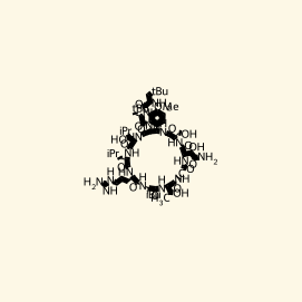 CC[C@H](C)[C@@H]1NC(=O)[C@@H](CCCNC(=N)N)NC(=O)[C@H](CC(C)C)NC(=O)[C@H]([C@H](O)C(C)C)NC(=O)[C@@H](NC(=O)[C@H](CC(C)(C)C)NC(=O)[C@H](N)CC(C)(C)C)[C@@H](c2ccc(OC)cc2)NC(=O)[C@H](CO)NC(=O)[C@H]([C@H](O)C(N)=O)NC(=O)CNC(=O)[C@H]([C@H](C)O)NC1=O